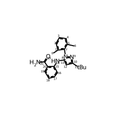 Cc1cccc(C)c1-n1nc(C(C)(C)C)cc1Nc1ccccc1C(N)=O